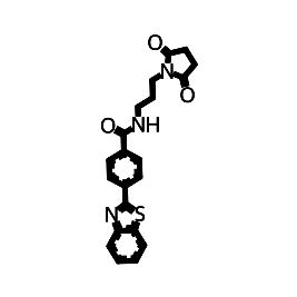 O=C(NCCCN1C(=O)CCC1=O)c1ccc(-c2nc3ccccc3s2)cc1